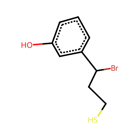 Oc1cccc(C(Br)CCS)c1